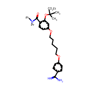 CCOC(=O)C(C)(C)Oc1cc(OCCCCCOc2ccc(C(=N)N)cc2)ccc1C(=O)N(C(C)C)C(C)C